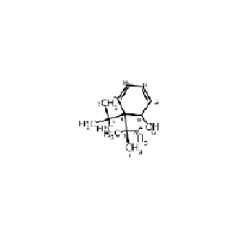 CC(C)(C)C1(C(C)(C)C)C=CC=CC1O